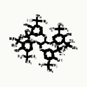 CC(C)(C)c1cc(SC(Sc2cc(C(C)(C)C)c(O)c(C(C)(C)C)c2)C(Sc2cc(C(C)(C)C)c(O)c(C(C)(C)C)c2)Sc2cc(C(C)(C)C)c(O)c(C(C)(C)C)c2)cc(C(C)(C)C)c1O